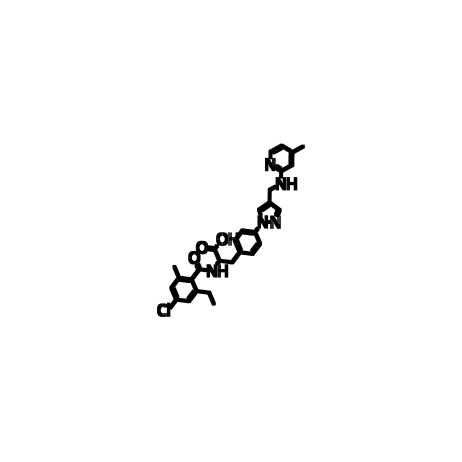 CCc1cc(Cl)cc(C)c1C(=O)NC(Cc1ccc(-n2cc(CNc3cc(C)ccn3)cn2)cc1)C(=O)O